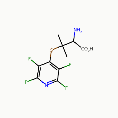 CC(C)(Sc1c(F)c(F)nc(F)c1F)C(N)C(=O)O